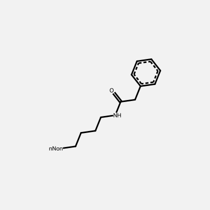 CCCCCCCCCCCCCNC(=O)Cc1ccccc1